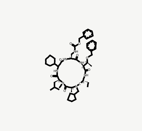 CC[C@@H]1CN(CC2CCCC2)[C@@H](C)C(=O)N(C)[C@@H](CC(C)C)C(=O)NC(C2CCCCC2)C(=O)N[C@@H](CNC(=O)OCc2ccccc2)C(=O)N[C@@H]([C@H](C)OCc2ccccc2)C(=O)N1